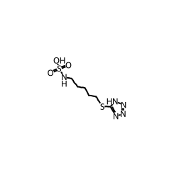 O=S(=O)(O)NCCCCCSc1nnn[nH]1